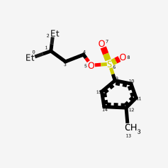 CCC(CC)CCOS(=O)(=O)c1ccc(C)cc1